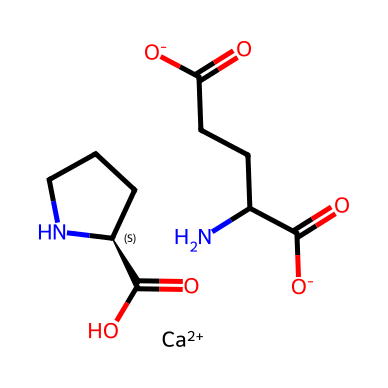 NC(CCC(=O)[O-])C(=O)[O-].O=C(O)[C@@H]1CCCN1.[Ca+2]